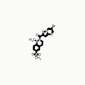 CN1c2ccc(S(C)(=O)=O)cc2CCN1C(=O)c1cc2ncc(Br)cn2n1